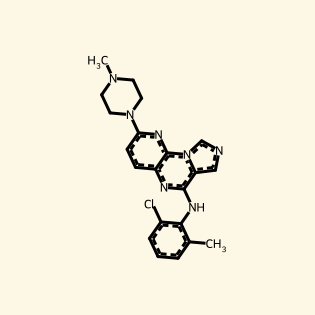 Cc1cccc(Cl)c1Nc1nc2ccc(N3CCN(C)CC3)nc2n2cncc12